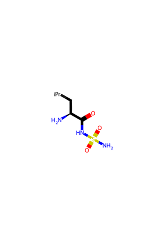 CC(C)C[C@H](N)C(=O)NS(N)(=O)=O